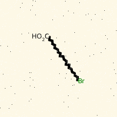 O=C(O)CCCCCCCCCCCCCCCCCCCCCCBr